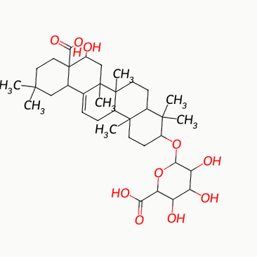 CC1(C)CCC2(C(=O)O)C(O)CC3(C)C(=CCC4C5(C)CCC(OC6OC(C(=O)O)C(O)C(O)C6O)C(C)(C)C5CCC43C)C2C1